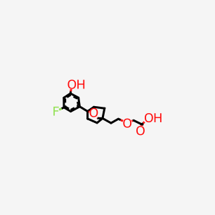 O=C(O)COCCC12CCC(c3cc(O)cc(F)c3)(CC1)OC2